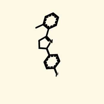 Cc1ccccc1C1=NC(c2ccc(F)cc2)CC1